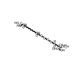 O=CC(CO)N(CC(=O)O)C(CCC(=O)NCCOCCOCCOCCOCCC(=O)NCCCCCCCCCCC(=O)NC(CS)C(=O)O)C(=O)O